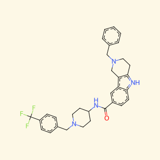 O=C(NC1CCN(Cc2ccc(C(F)(F)F)cc2)CC1)c1ccc2[nH]c3c(c2c1)CN(Cc1ccccc1)CC3